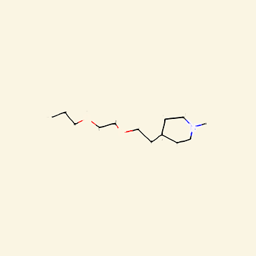 CCN1CCC(CCOCCOCCC(C)C)CC1